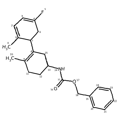 CC1=CC=C(F)CC1C1=C(C)CCC(NC(=O)OCc2ccccc2)C1